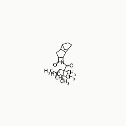 CC(C)=CC(C)(C(=O)N1C(=O)C2CC3C4CCC(C4)C3C21)C(C)(C)C